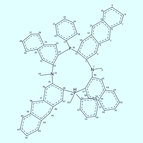 CN1c2cc3cc4ccccc4cc3cc2P(c2ccccc2)c2cc3ccccc3cc2N(C)c2cc3cc4ccccc4cc3cc2[PH](C)(c2ccccc2)c2cc3ccccc3cc21